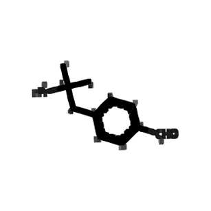 CCCC(C)(C)Cc1ccc(C=O)cc1